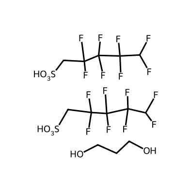 O=S(=O)(O)CC(F)(F)C(F)(F)C(F)(F)C(F)F.O=S(=O)(O)CC(F)(F)C(F)(F)C(F)(F)C(F)F.OCCCO